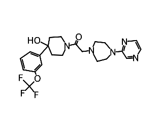 O=C(CN1CCN(c2cnccn2)CC1)N1CCC(O)(c2cccc(OC(F)(F)F)c2)CC1